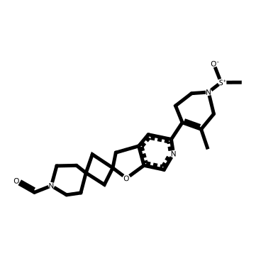 CC1=C(c2cc3c(cn2)OC2(C3)CC3(CCN(C=O)CC3)C2)CCN([S+](C)[O-])C1